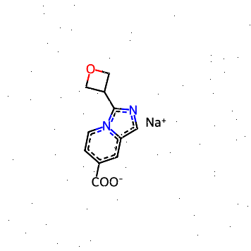 O=C([O-])c1ccn2c(C3COC3)ncc2c1.[Na+]